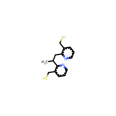 CC(Cc1ncccc1CS)c1ncccc1CS